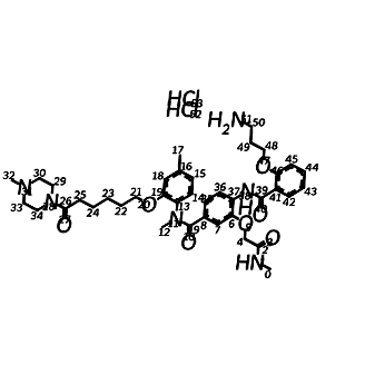 CNC(=O)COc1cc(C(=O)N(C)c2ccc(C)cc2OCCCCCC(=O)N2CCN(C)CC2)ccc1NC(=O)c1ccccc1OCCCN.Cl.Cl